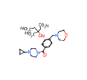 O=C(O)CC(O)(CC(=O)O)C(=O)O.O=C(c1ccc(CN2CCOCC2)cc1)N1CCN(C2CC2)CC1